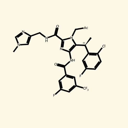 CC(=O)Cn1c(C(=O)NCc2cn(C)cn2)nc(NC(=O)c2cc(F)cc(C(F)(F)F)c2)c1[C@@H](C)c1cc(F)ccc1Cl